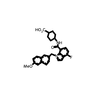 COc1ccc2cc(Cn3ccc4c(F)ccc(C(=O)NC5CCC(C(=O)O)CC5)c43)ccc2c1